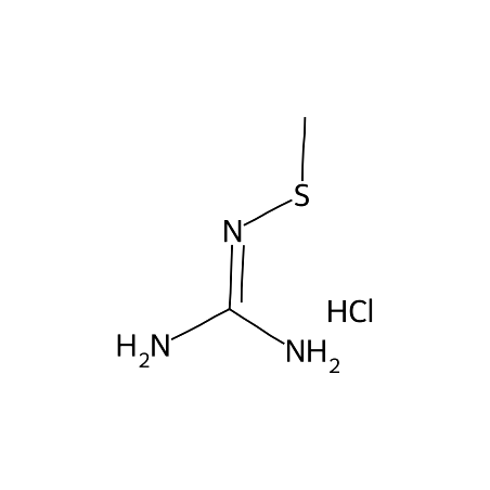 CSN=C(N)N.Cl